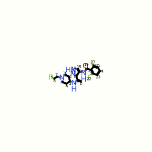 C=C(NC1CCN(CCF)CC1)c1n[nH]cc1NC(=O)c1c(F)cccc1F